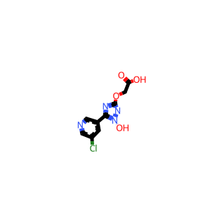 O=C(O)COc1nc(-c2cncc(Cl)c2)n(O)n1